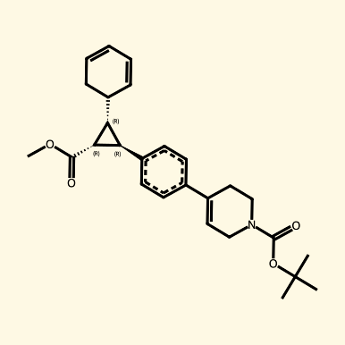 COC(=O)[C@H]1[C@H](c2ccc(C3=CCN(C(=O)OC(C)(C)C)CC3)cc2)[C@H]1C1C=CC=CC1